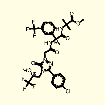 COC(=O)C(C)(C)NC(=O)[C@](C)(NC(=O)Cn1nc(-c2ccc(Cl)cc2)n(C[C@H](O)C(F)(F)F)c1=O)c1cccc(C(F)(F)F)c1